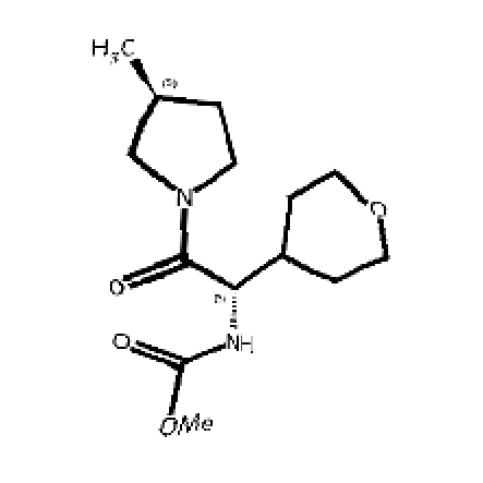 COC(=O)N[C@H](C(=O)N1CC[C@H](C)C1)C1CCOCC1